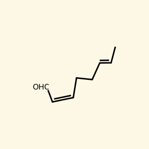 C/C=C/CC/C=C\C=O